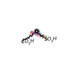 O=C(O)CCCCCCC(=O)Nc1ccccc1OCCCCSS(=O)(=O)O